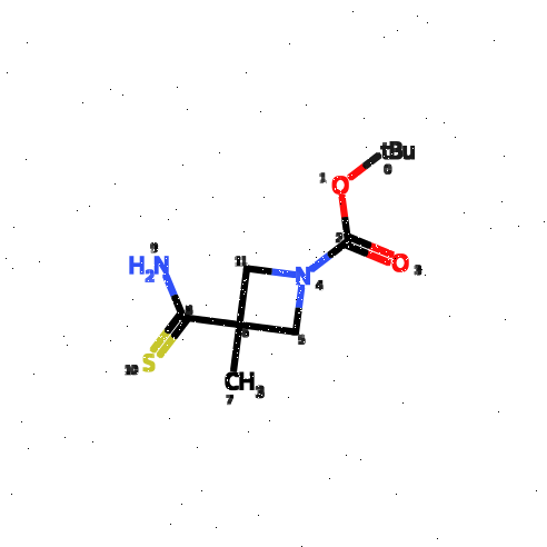 CC(C)(C)OC(=O)N1CC(C)(C(N)=S)C1